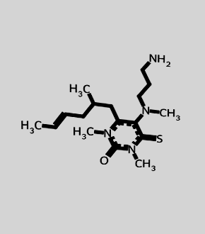 C/C=C/CC(C)Cc1c(N(C)CCCN)c(=S)n(C)c(=O)n1C